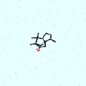 CC(=O)C1CC23CC(O)C1(C)C(C)(C)C2CCC3C